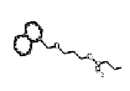 CCC[SiH2]OCCCOCc1cccc2ccccc12